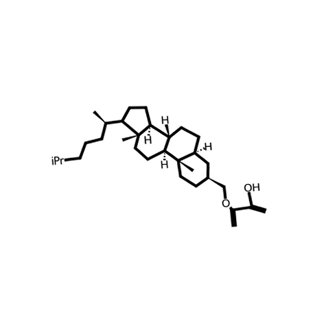 C=C(O)C(=C)OC[C@H]1CC[C@@]2(C)[C@@H](CC[C@@H]3[C@@H]2CC[C@]2(C)C([C@H](C)CCCC(C)C)CC[C@@H]32)C1